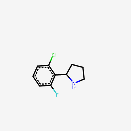 Fc1cccc(Cl)c1C1CCCN1